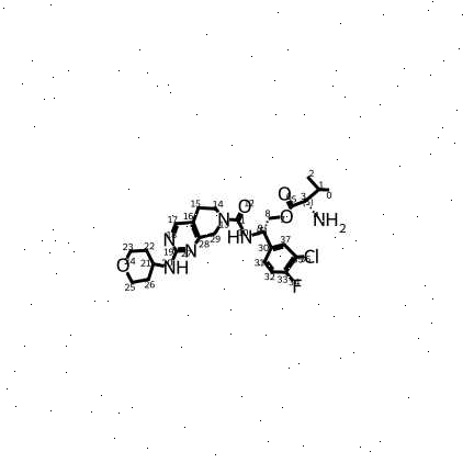 CC(C)[C@H](N)C(=O)OC[C@@H](NC(=O)N1CCc2cnc(NC3CCOCC3)nc2C1)c1ccc(F)c(Cl)c1